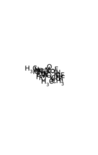 CN(C)C[C@@H](CCCn1ccc2cc(-c3ncc(C(F)(F)F)cn3)c(F)cc2c1=O)Nc1cnn(COCC[Si](C)(C)C)c(=O)c1C(F)(F)F